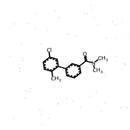 Cc1ccc(Cl)cc1-c1cccc(C(=O)N(C)C)c1